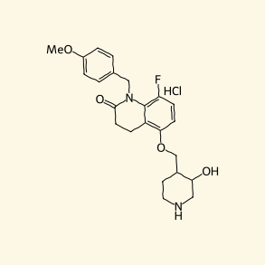 COc1ccc(CN2C(=O)CCc3c(OCC4CCNCC4O)ccc(F)c32)cc1.Cl